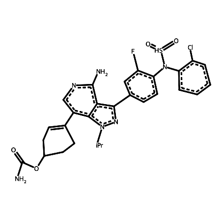 CC(C)n1nc(-c2ccc(N(c3ccccc3Cl)[SH](=O)=O)c(F)c2)c2c(N)ncc(C3=CCC(OC(N)=O)CC3)c21